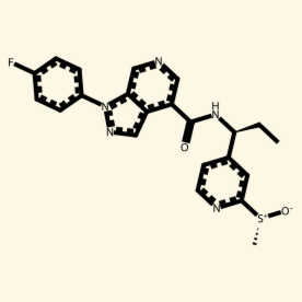 CC[C@H](NC(=O)c1cncc2c1cnn2-c1ccc(F)cc1)c1ccnc([S@@+](C)[O-])c1